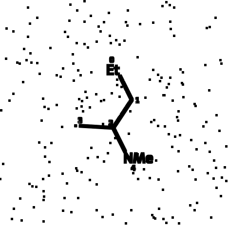 [CH2]CCC([CH2])NC